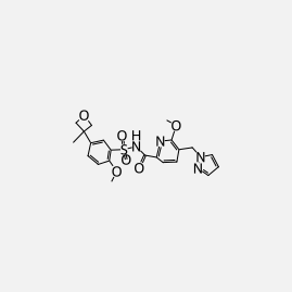 COc1ccc(C2(C)COC2)cc1S(=O)(=O)NC(=O)c1ccc(Cn2cccn2)c(OC)n1